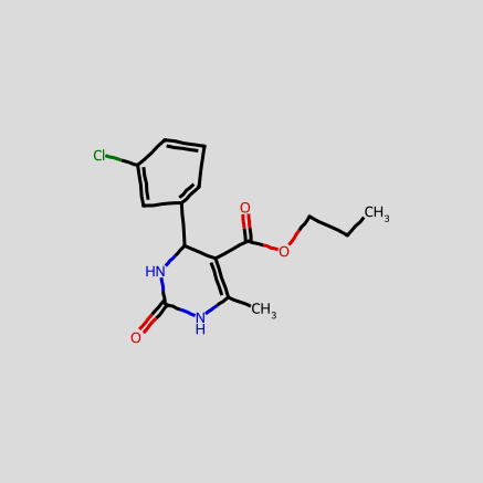 CCCOC(=O)C1=C(C)NC(=O)NC1c1cccc(Cl)c1